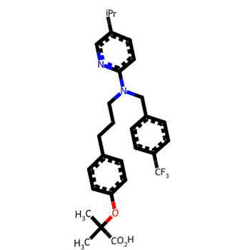 CC(C)c1ccc(N(CCCc2ccc(OC(C)(C)C(=O)O)cc2)Cc2ccc(C(F)(F)F)cc2)nc1